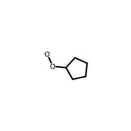 [O]OC1CCCC1